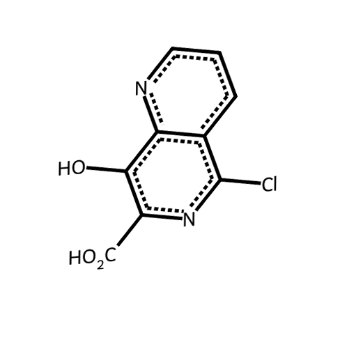 O=C(O)c1nc(Cl)c2cccnc2c1O